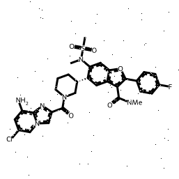 CNC(=O)c1c(-c2ccc(F)cc2)oc2cc(N(C)S(C)(=O)=O)c([C@H]3CCCN(C(=O)c4cn5cc(Cl)cc(N)c5n4)C3)cc12